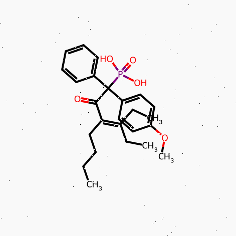 CCCCC(C(=O)C(c1ccccc1)(c1ccc(OC)cc1)P(=O)(O)O)=C(CC)CC